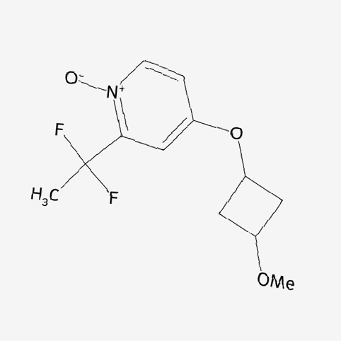 COC1CC(Oc2cc[n+]([O-])c(C(C)(F)F)c2)C1